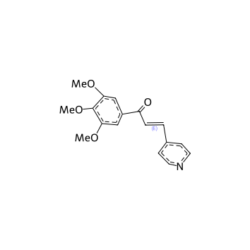 COc1cc(C(=O)/C=C/c2ccncc2)cc(OC)c1OC